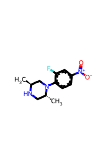 C[C@@H]1CN[C@@H](C)CN1c1ccc([N+](=O)[O-])cc1F